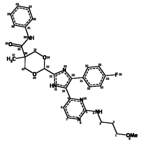 COCCCNc1nccc(-c2[nH]c(C3OCC(C)(C(=O)Nc4ccccc4)CO3)nc2-c2ccc(F)cc2)n1